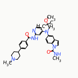 CNC(=O)n1ccc2cc(N(CC(C)(C)OC)c3ccnc(NC(=O)c4ccc(C5CCN(C)CC5)cc4)c3)ccc21